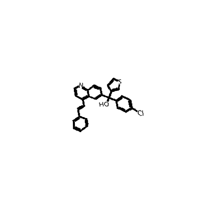 OC(c1ccc(Cl)cc1)(c1ccsc1)c1ccc2nccc(C=Cc3ccccc3)c2c1